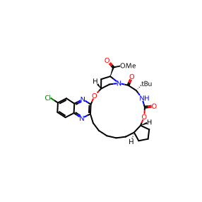 COC(=O)[C@@H]1C[C@@H]2CN1C(=O)[C@H](C(C)(C)C)NC(=O)O[C@@H]1CCC[C@H]1CCCCCc1nc3ccc(Cl)cc3nc1O2